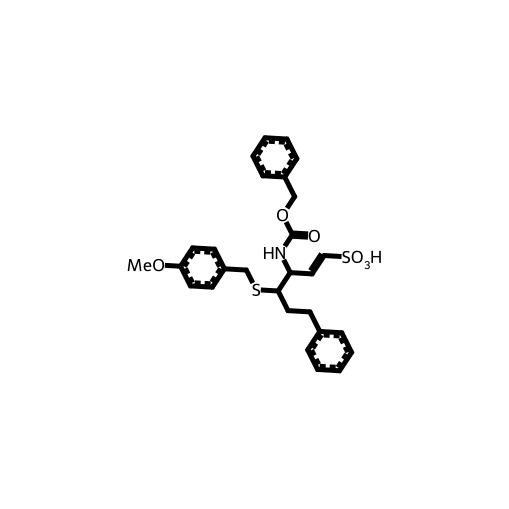 COc1ccc(CSC(CCc2ccccc2)C(/C=C/S(=O)(=O)O)NC(=O)OCc2ccccc2)cc1